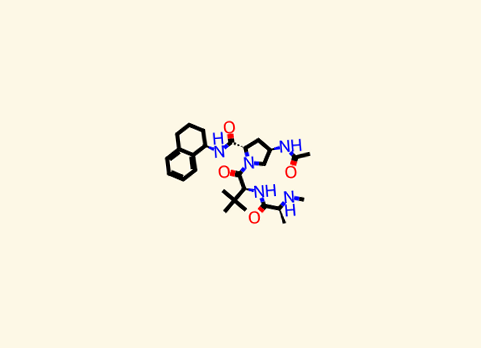 CN[C@@H](C)C(=O)N[C@H](C(=O)N1C[C@H](NC(C)=O)C[C@H]1C(=O)N[C@@H]1CCCc2ccccc21)C(C)(C)C